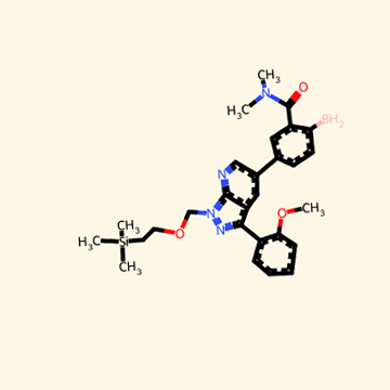 Bc1ccc(-c2cnc3c(c2)c(-c2ccccc2OC)nn3COCC[Si](C)(C)C)cc1C(=O)N(C)C